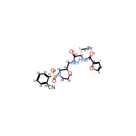 CC(C)C[C@H](NC(=O)c1ccco1)C(=O)NCC1CN(S(=O)(=O)c2ccccc2C#N)CCO1